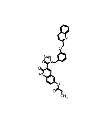 CCC(=O)Oc1ccc2[nH]c(=O)c(-c3nnnn3Cc3cccc(OCc4ccc5ccccc5n4)c3)cc2c1